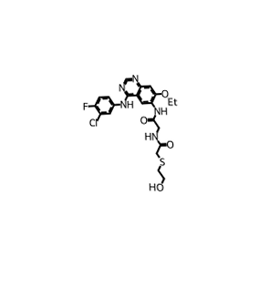 CCOc1cc2ncnc(Nc3ccc(F)c(Cl)c3)c2cc1NC(=O)CNC(=O)CSCCO